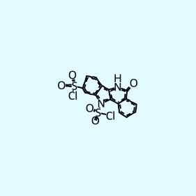 O=c1[nH]c2c3ccc(S(=O)(=O)Cl)cc3n(S(=O)(=O)Cl)c2c2ccccc12